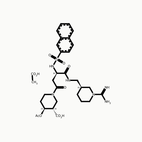 CC(=O)O.CC(=O)O[C@H]1CCN(C(=O)C[C@@H](NS(=O)(=O)c2ccc3ccccc3c2)C(=O)NC[C@@H]2CCCN(C(=N)N)C2)C[C@@H]1C(=O)O